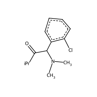 CC(C)C(=O)C(c1ccccc1Cl)N(C)C